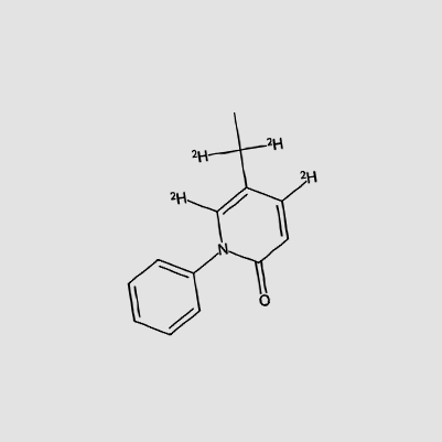 [2H]c1cc(=O)n(-c2ccccc2)c([2H])c1C([2H])([2H])C